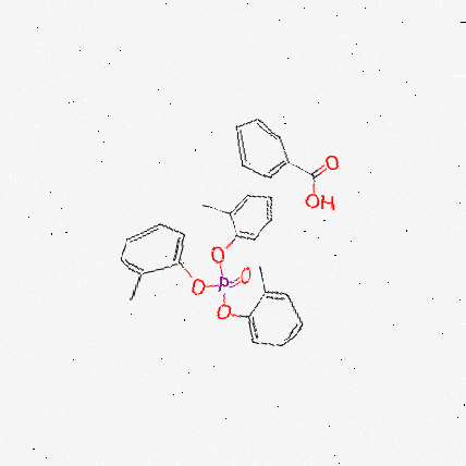 Cc1ccccc1OP(=O)(Oc1ccccc1C)Oc1ccccc1C.O=C(O)c1ccccc1